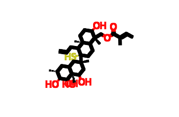 C=CCC1[C@@]2(C)CC[C@H](O)[C@](C)(COC(=O)/C(C)=C/C)C2CC[C@@]1(S)[C@@]1(C)CC2C[C@@H](C)[C@@H](O)[C@H](O)[C@]2(CO)[C@H](O)C1